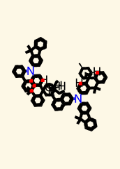 CC[C@@H]1C[C@H]2C[C@H](C)CC1(c1cccc3cc(N(c4ccc5c(c4)C(C)(C)c4ccccc4-5)c4ccc5c(c4)C(C)(C)c4ccccc4C54[C@@H]5CCC[C@H]4C[C@H](C)C5)ccc13)CC21c2ccccc2C(C)(C)c2cc(N(c3ccc4c(c3)C(C)(C)c3ccccc3-4)c3ccccc3-c3ccccc3)ccc21